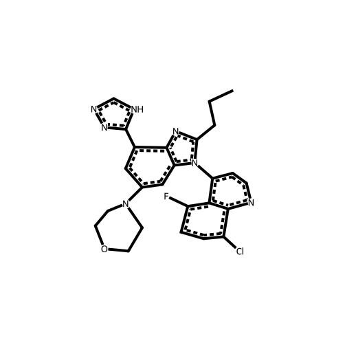 CCCc1nc2c(-c3nnc[nH]3)cc(N3CCOCC3)cc2n1-c1ccnc2c(Cl)ccc(F)c12